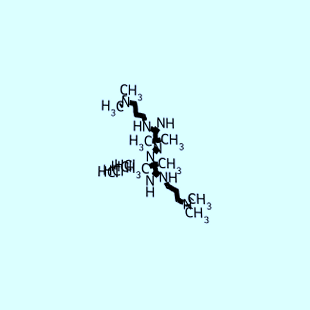 CN(C)CCCNC(=N)C(C)(C)N=NC(C)(C)C(=N)NCCCN(C)C.Cl.Cl.Cl.Cl